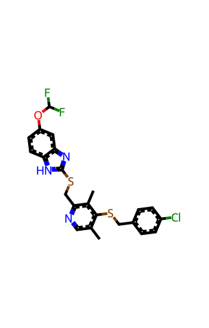 Cc1cnc(CSc2nc3cc(OC(F)F)ccc3[nH]2)c(C)c1SCc1ccc(Cl)cc1